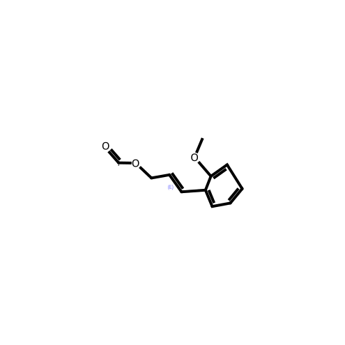 COc1ccccc1/C=C/CO[C]=O